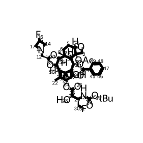 CC(=O)O[C@@]12CO[C@@H]1CC[C@@]1(C)[C@@H]3O[C@H](CN4CC(F)C4)O[C@@H]3C3=C(C)[C@@H](OC(=O)[C@H](O)[C@H](CF)NC(=O)OC(C)(C)C)C[C@@](O)([C@@H](OC(=O)c4ccccc4)[C@@H]12)C3(C)C